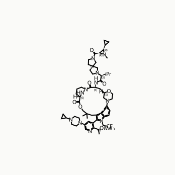 CO[C@@H](C)c1ncc(N2CCN(C3CC3)CC2)cc1-c1c2c3cc(ccc3n1CC(F)(F)F)N1CCO[C@@H](C[C@H](NC(=O)[C@H](C(C)C)N3CC[C@]4(CCN(C(=O)[C@H]5[C@@H](C6CC6)N5C)C4)C3)C(=O)N3CCC[C@H](N3)C(=O)OCC(C)(C)C2)C1